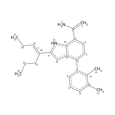 C=C(N)c1ccc(-c2cccc(C)c2C)c2cc(/C(=C/CC)CCC)[nH]c12